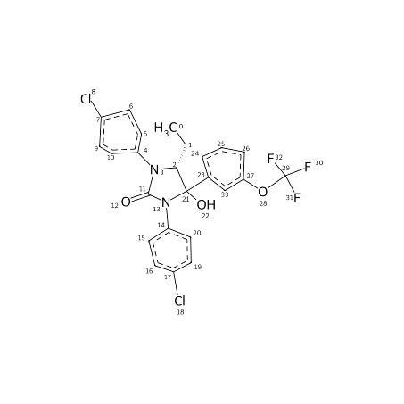 CC[C@H]1N(c2ccc(Cl)cc2)C(=O)N(c2ccc(Cl)cc2)C1(O)c1cccc(OC(F)(F)F)c1